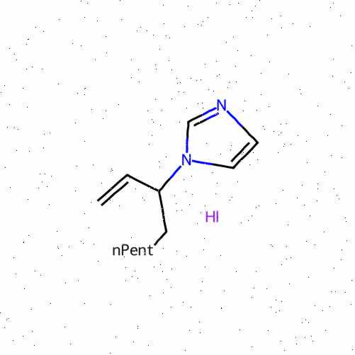 C=CC(CCCCCC)n1ccnc1.I